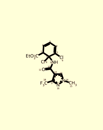 CCOC(=O)C1C=CC=C(Cl)C1(Cl)NC(=O)c1cn(C)nc1C(F)(F)F